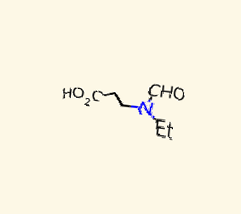 CCN(C=O)CCC(=O)O